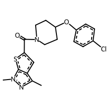 Cc1nn(C)c2sc(C(=O)N3CCC(Oc4ccc(Cl)cc4)CC3)cc12